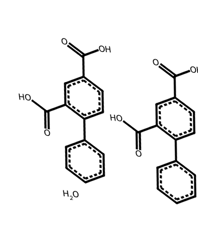 O.O=C(O)c1ccc(-c2ccccc2)c(C(=O)O)c1.O=C(O)c1ccc(-c2ccccc2)c(C(=O)O)c1